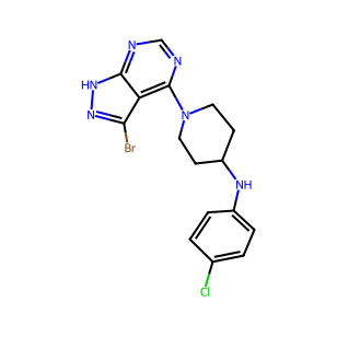 Clc1ccc(NC2CCN(c3ncnc4[nH]nc(Br)c34)CC2)cc1